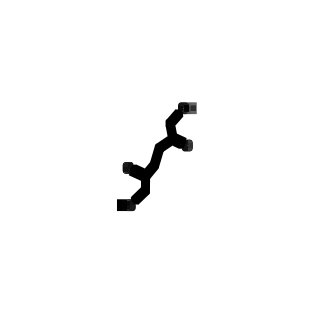 O=C(CO)CCC(=O)CO